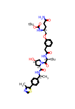 Cc1ncsc1-c1ccc([C@H](C)NC(=O)[C@@H]2C[C@@H](O)CN2C(=O)[C@@H](NC(=O)Cc2cccc(OC[C@H](CCC(N)=O)NC(=O)OC(C)(C)C)c2)C(C)(C)C)cc1